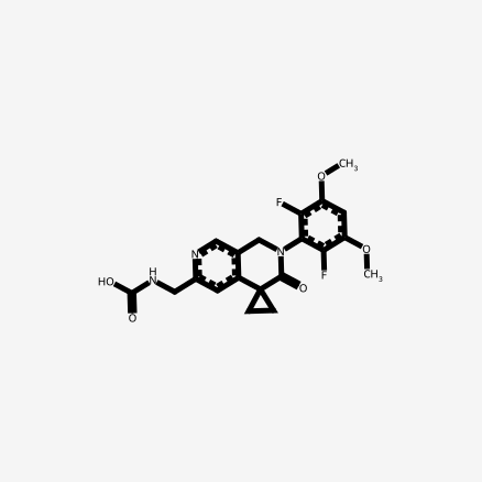 COc1cc(OC)c(F)c(N2Cc3cnc(CNC(=O)O)cc3C3(CC3)C2=O)c1F